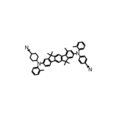 Cc1ccccc1N(c1ccc(C#N)cc1)c1cc(C)c2c(c1)C(C)(C)c1cc3c(cc1-2)C(C)(C)c1cc(N(c2ccccc2C)C2CCC(C#N)CC2)ccc1-3